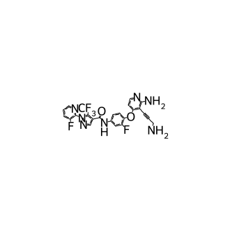 NCC#Cc1c(Oc2ccc(NC(=O)c3cnn(-c4ncccc4F)c3C(F)(F)F)cc2F)ccnc1N